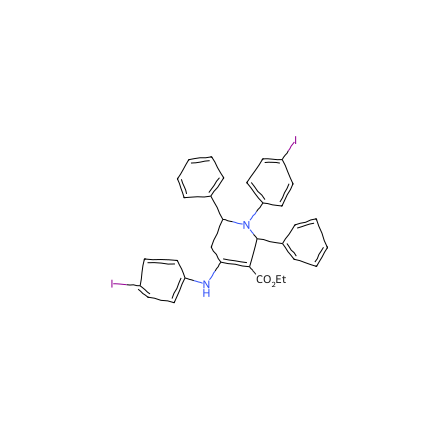 CCOC(=O)C1=C(Nc2ccc(I)cc2)CC(c2ccccc2)N(c2ccc(I)cc2)C1c1ccccc1